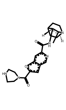 C[C@H]1[C@H](NC(=O)c2cc3oc(C(=O)N4CCNCC4)cc3cn2)C2CCN1CC2